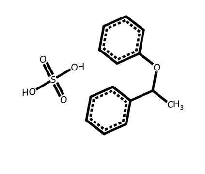 CC(Oc1ccccc1)c1ccccc1.O=S(=O)(O)O